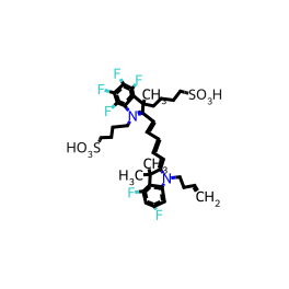 C=CCCN1/C(=C/C=C/C=C/C2=[N+](CCCCS(=O)(=O)O)c3c(F)c(F)c(F)c(F)c3C2(C)CCCCS(=O)(=O)O)C(C)(C)c2c(F)cc(F)cc21